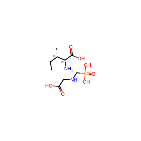 CC[C@H](C)[C@H](N)C(=O)O.O=C(O)CNCP(=O)(O)O